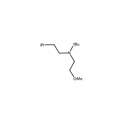 COCCN(CCC(C)C)C(C)(C)C